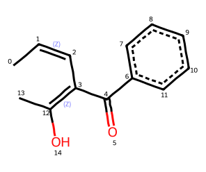 C/C=C\C(C(=O)c1ccccc1)=C(/C)O